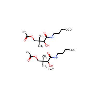 CC(C)C(=O)OCC(C)(C)C(O)C(=O)NCCCC(=O)[O-].CC(C)C(=O)OCC(C)(C)C(O)C(=O)NCCCC(=O)[O-].[Ca+2]